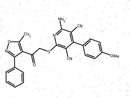 COc1ccc(-c2c(C#N)c(N)nc(SCC(=O)c3c(-c4ccccc4)noc3C)c2C#N)cc1